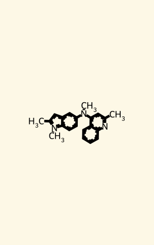 Cc1cc(N(C)c2ccc3c(c2)cc(C)n3C)c2ccccc2n1